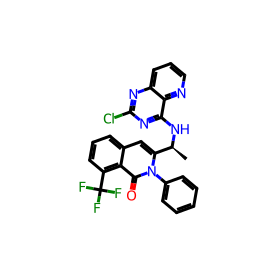 C[C@H](Nc1nc(Cl)nc2cccnc12)c1cc2cccc(C(F)(F)F)c2c(=O)n1-c1ccccc1